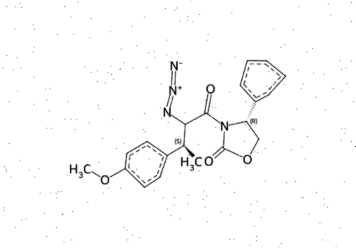 COc1ccc([C@H](C)C(N=[N+]=[N-])C(=O)N2C(=O)OC[C@H]2c2ccccc2)cc1